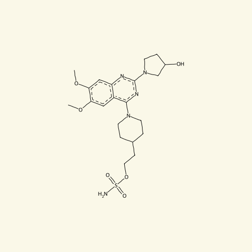 COc1cc2nc(N3CCC(O)C3)nc(N3CCC(CCOS(N)(=O)=O)CC3)c2cc1OC